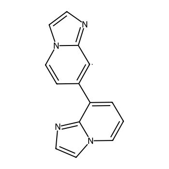 [c]1c(-c2cccn3ccnc23)ccn2ccnc12